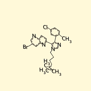 Cc1ccc(Cl)cc1-c1ncn(CCCCS(C)(C)C)c1-c1ccc2ncc(Br)cc2n1